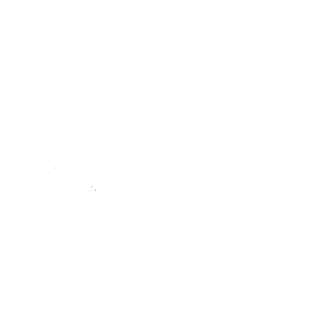 C(=Cc1ccccc1)COC(C=Cc1ccccc1)Cn1ccnc1